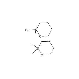 CCC(C)[SiH]1CCCCO1.C[Si]1(C)CCCCO1